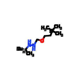 CCC(C)[C@@H](C)NNCOCC[Si](C)(C)C